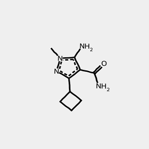 Cn1nc(C2CCC2)c(C(N)=O)c1N